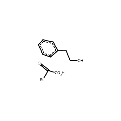 CCC(=O)C(=O)O.OCCc1ccccc1